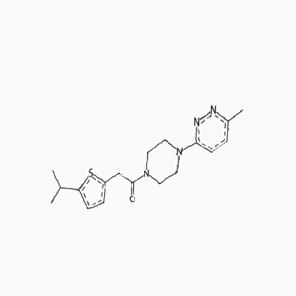 Cc1ccc(N2CCN(C(=O)Cc3ccc(C(C)C)s3)CC2)nn1